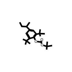 CCC(C)c1cc(C(C)(C)C)c(OC(=O)OC(C)(C)C)c(C(C)(C)C)c1